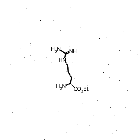 CCOC(=O)[C@H](N)CCCNC(=N)N